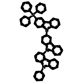 c1ccc(-n2c3ccccc3c3c(-n4c5ccccc5c5cc(-n6c7ccccc7c7cc([Si](c8ccccc8)(c8ccccc8)c8ccccc8)ccc76)ccc54)cccc32)cc1